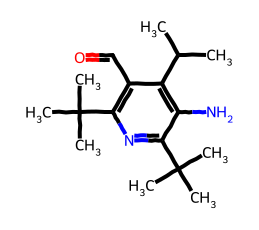 CC(C)c1c(N)c(C(C)(C)C)nc(C(C)(C)C)c1C=O